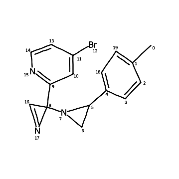 Cc1ccc(C2CN2C2(c3cc(Br)ccn3)C=N2)cc1